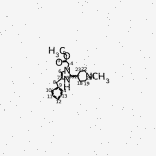 COC(=O)CN1C=C(Cc2ccccc2)NC1=C1CCN(C)CC1